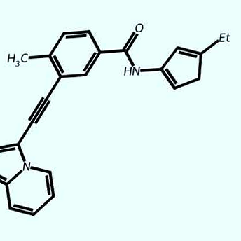 CCC1=CC(NC(=O)c2ccc(C)c(C#Cc3nnc4ccccn34)c2)=CC1